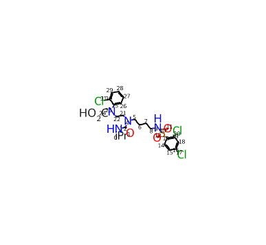 CC(C)NC(=O)N(CCCCNS(=O)(=O)c1ccc(Cl)cc1Cl)CCN(C(=O)O)c1ccccc1Cl